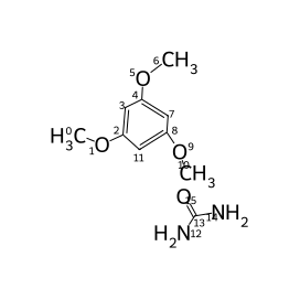 COc1cc(OC)cc(OC)c1.NC(N)=O